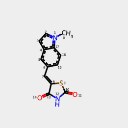 Cn1ccc2cc(/C=C3\SC(=O)NC3=O)ccc21